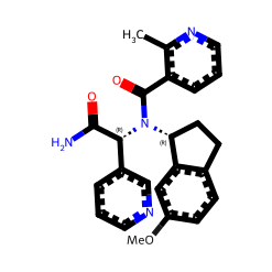 COc1ccc2c(c1)[C@H](N(C(=O)c1cccnc1C)[C@@H](C(N)=O)c1cccnc1)CC2